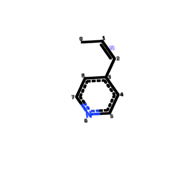 C/C=C\c1ccncc1